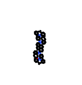 CC(C)c1ccccc1-n1c2ccccc2c2ccc(N(c3cccc4c3CCCC4)c3ccc4ccc5c(N(c6ccc7c8ccccc8n(-c8ccccc8C(C)C)c7c6)c6cccc7c6CCCC7)ccc6ccc3c4c65)cc21